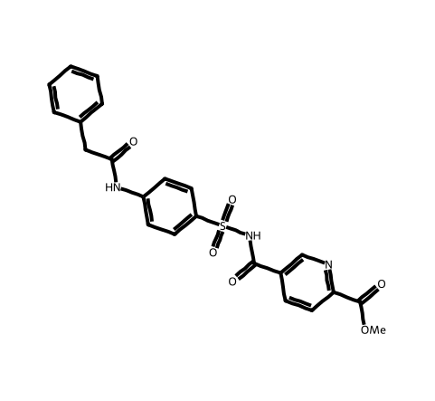 COC(=O)c1ccc(C(=O)NS(=O)(=O)c2ccc(NC(=O)Cc3ccccc3)cc2)cn1